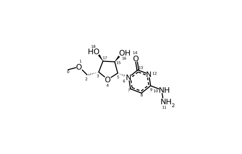 COC[C@H]1O[C@@H](n2ccc(NN)nc2=O)[C@H](O)[C@@H]1O